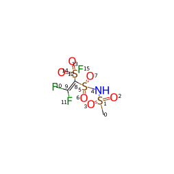 CS(=O)(=O)NS(=O)(=O)C(=C(F)F)S(=O)(=O)F